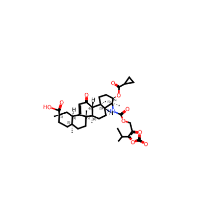 CC(C)c1oc(=O)oc1COC(=O)N[C@]1(C)[C@@H](OC(=O)C2CC2)CC[C@@]2(C)[C@H]1CC[C@]1(C)[C@@H]2C(=O)C=C2[C@@H]3C[C@@](C)(C(=O)O)CC[C@]3(C)CC[C@]21C